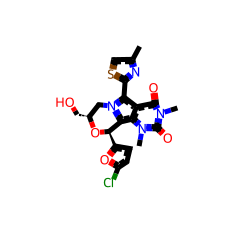 Cc1csc(-c2c3c(=O)n(C)c(=O)n(C)c3c3n2C[C@@H](CO)O[C@@H]3c2ccc(Cl)o2)n1